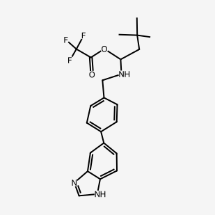 CC(C)(C)CC(NCc1ccc(-c2ccc3[nH]cnc3c2)cc1)OC(=O)C(F)(F)F